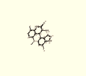 COc1ncc(C)c2[nH]c(=O)c(N)c(-c3ccc(F)c4[nH]ncc34)c12